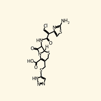 Nc1nc(C(=CCl)C(=O)NC2C(=O)N3C(C(=O)O)=C(CSc4cnn[nH]4)CS[C@@H]23)cs1